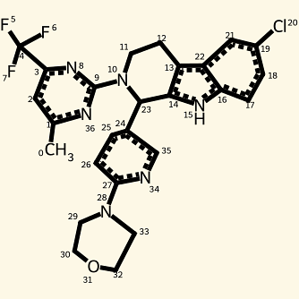 Cc1cc(C(F)(F)F)nc(N2CCc3c([nH]c4ccc(Cl)cc34)C2c2ccc(N3CCOCC3)nc2)n1